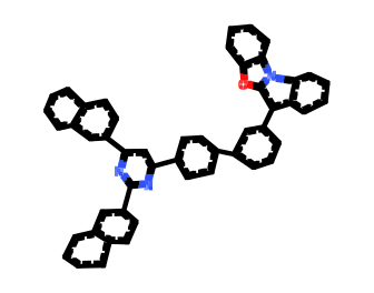 c1cc(-c2ccc(-c3cc(-c4ccc5ccccc5c4)nc(-c4ccc5ccccc5c4)n3)cc2)cc(-c2c3ccccc3n3c2oc2ccccc23)c1